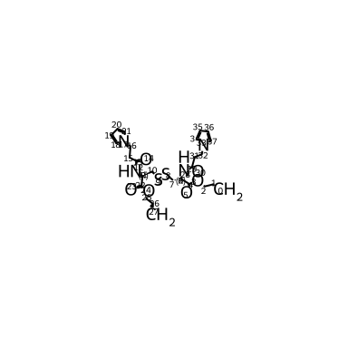 C=CCOC(=O)[C@H](CSSC[C@H](NC(=O)CCn1cccc1)C(=O)OCC=C)NC(=O)CCn1cccc1